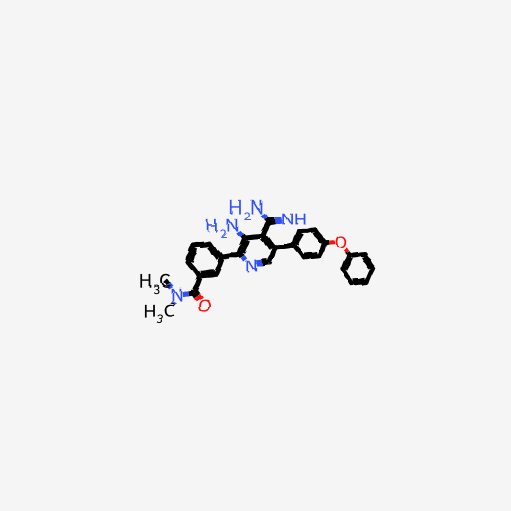 CN(C)C(=O)c1cccc(-c2ncc(-c3ccc(Oc4ccccc4)cc3)c(C(=N)N)c2N)c1